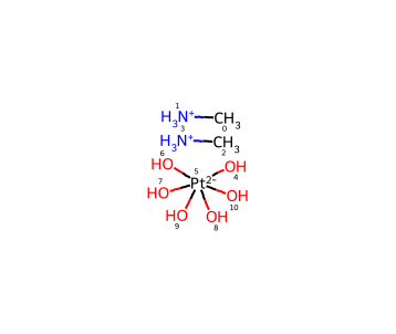 C[NH3+].C[NH3+].[OH][Pt-2]([OH])([OH])([OH])([OH])[OH]